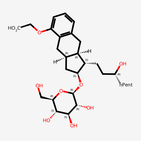 CCCCC[C@@H](O)CC[C@H]1[C@@H]2Cc3cccc(OCC(=O)O)c3C[C@@H]2C[C@@H]1O[C@@H]1O[C@H](CO)[C@@H](O)[C@H](O)[C@H]1O